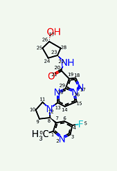 Cc1ncc(F)cc1[C@H]1CCCN1c1ccn2ncc(C(=O)N[C@H]3CC[C@H](O)C3)c2n1